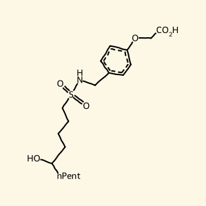 CCCCCC(O)CCCCS(=O)(=O)NCc1ccc(OCC(=O)O)cc1